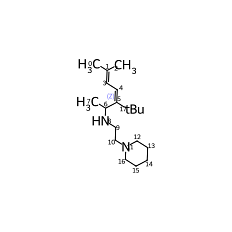 CC(C)=C/C=C(\C(C)NCCN1CCCCC1)C(C)(C)C